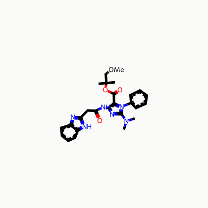 COCC(C)(C)OC(=O)c1c(NC(=O)Cc2nc3ccccc3[nH]2)nc(N(C)C)n1-c1ccccc1